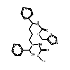 CC(C)(C)OC(=O)NN(CCCC(NC(=O)OCc1cncs1)c1ccccc1)C(O)c1ccccc1